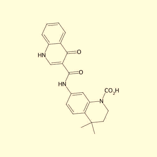 CC1(C)CCN(C(=O)O)c2cc(NC(=O)c3c[nH]c4ccccc4c3=O)ccc21